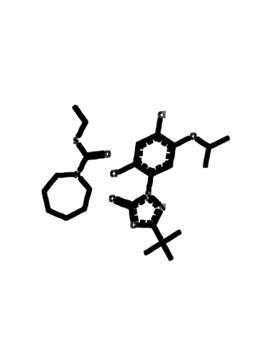 CC(C)Oc1cc(-n2nc(C(C)(C)C)oc2=O)c(Cl)cc1Cl.CCSC(=O)N1CCCCCC1